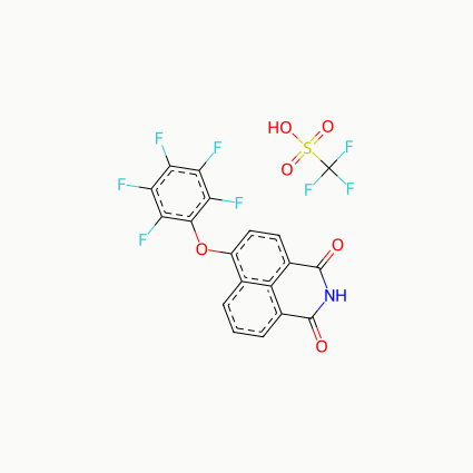 O=C1NC(=O)c2ccc(Oc3c(F)c(F)c(F)c(F)c3F)c3cccc1c23.O=S(=O)(O)C(F)(F)F